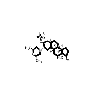 CC(=O)[C@H]1CC[C@H]2[C@@H]3CC[C@H]4C[C@H](OS(C)(=O)=O)[C@@H](N5C[C@H](C)O[C@@H](C)C5)C[C@]4(C)[C@H]3CC[C@]12C